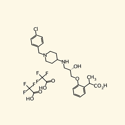 CC(C(=O)O)c1ccccc1OC[C@@H](O)CNC1CCN(Cc2ccc(Cl)cc2)CC1.O=C(O)C(F)(F)F.O=C(O)C(F)(F)F